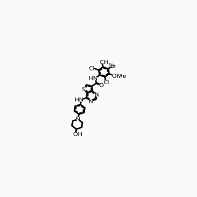 COc1c(Cl)c(NC(=O)c2csc3c(Nc4ccc(N5CCC(O)CC5)cc4)ncnc23)c(Cl)c(C)c1Br